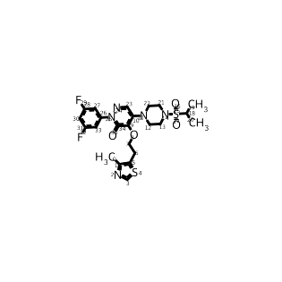 Cc1ncsc1CCOc1c(N2CCN(S(=O)(=O)C(C)C)CC2)cnn(-c2cc(F)cc(F)c2)c1=O